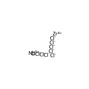 [Cl-].[Cl-].[Cl-].[Cl-].[Cl-].[Cl-].[Cl-].[Cl-].[Cl-].[Nb+5].[Zr+4]